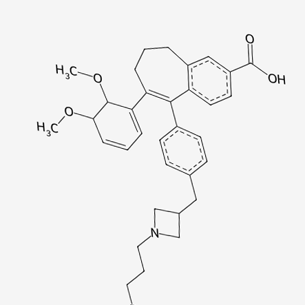 COC1C=CC=C(C2=C(c3ccc(CC4CN(CCCF)C4)cc3)c3ccc(C(=O)O)cc3CCC2)C1OC